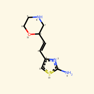 Nc1nc(/C=C/C2CNCCO2)cs1